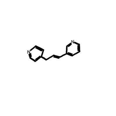 C(=Cc1cccnc1)Cc1ccncc1